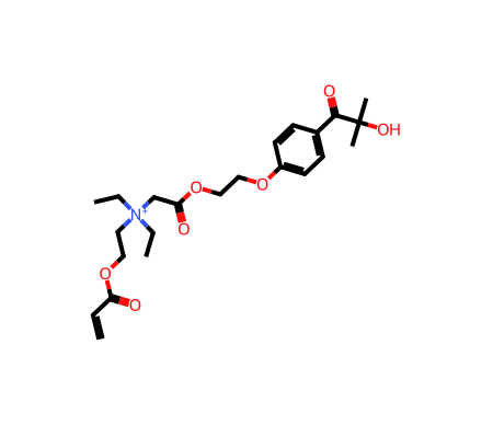 C=CC(=O)OCC[N+](CC)(CC)CC(=O)OCCOc1ccc(C(=O)C(C)(C)O)cc1